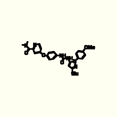 COc1ccc(-n2nc(C(C)(C)C)cc2NC(=O)Nc2ccc(Oc3ccnc(C(=O)N(C)C)c3)cc2)cc1